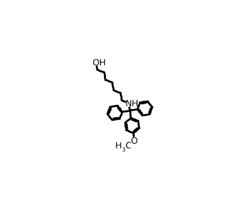 COc1ccc(C(NCCCCCCCO)(c2ccccc2)c2ccccc2)cc1